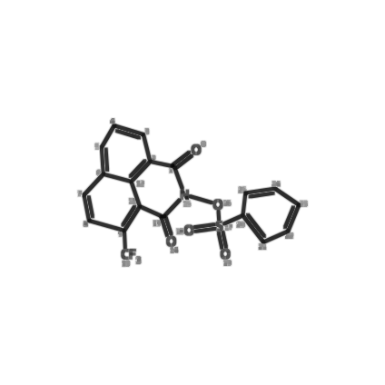 O=C1c2cccc3ccc(C(F)(F)F)c(c23)C(=O)N1OS(=O)(=O)c1ccccc1